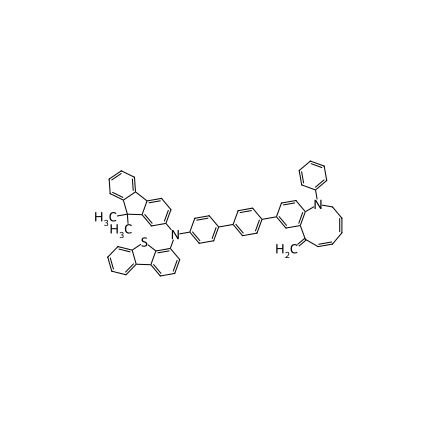 C=C1/C=C\C=C/CN(c2ccccc2)c2ccc(-c3ccc(-c4ccc(N(c5ccc6c(c5)C(C)(C)c5ccccc5-6)c5cccc6c5sc5ccccc56)cc4)cc3)cc21